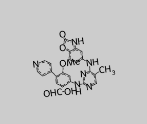 COc1cc(Nc2ncc(C)c(Nc3ccc4oc(=O)[nH]c4c3)n2)ccc1-c1ccncc1.O=CO